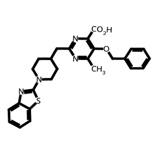 Cc1nc(CC2CCN(c3nc4ccccc4s3)CC2)nc(C(=O)O)c1OCc1ccccc1